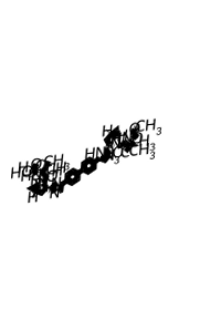 COC(=O)N[C@H](C(=O)N1[C@H](c2ncc(-c3ccc(-c4ccc(-c5cnc([C@@H]6C[C@@H]7C[C@@H]7N6C(=O)[C@@H](NC(=O)O)C(C)(C)C)[nH]5)cc4)cc3)[nH]2)C[C@H]2C[C@@H]21)C(C)(C)C